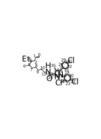 C=CCC(CC)C(C)CCCCCNC(=O)c1nn(-c2ccc(Cl)cc2Cl)c(-c2ccc(Cl)cc2)c1C